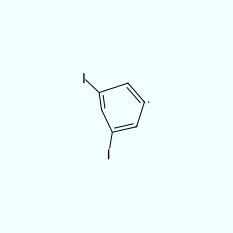 Ic1c[c]cc(I)c1